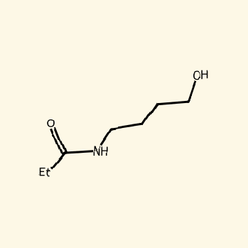 CCC(=O)NCCCCO